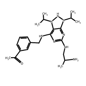 CC(=O)c1cccc(CNc2nc(NCC(C)N)nc3c2N(C(C)C)NN3C(C)C)c1